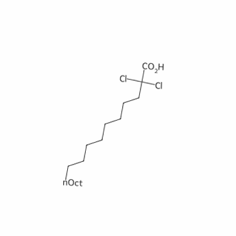 CCCCCCCCCCCCCCCCC(Cl)(Cl)C(=O)O